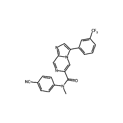 CN(C(=O)c1cn2c(-c3cccc(C(F)(F)F)c3)cnc2cn1)c1ccc(C#N)cc1